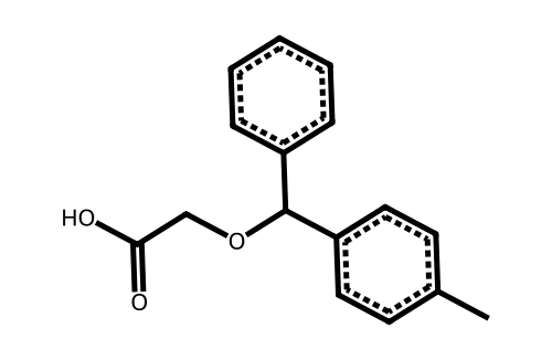 Cc1ccc(C(OCC(=O)O)c2ccccc2)cc1